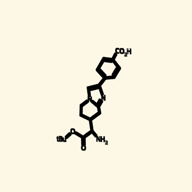 CC(C)(C)OC(=O)C(N)C1CCn2cc(-c3ccc(C(=O)O)cc3)nc2C1